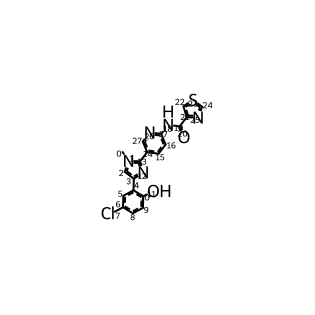 Cn1cc(-c2cc(Cl)ccc2O)nc1-c1ccc(NC(=O)c2cscn2)nc1